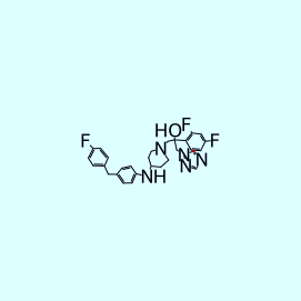 OC(CN1CCC(Nc2ccc(Cc3ccc(F)cc3)cc2)CC1)(Cn1cncn1)c1ccc(F)cc1F